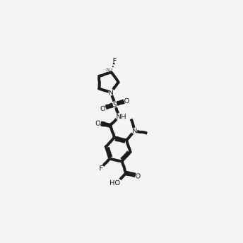 CN(C)c1cc(C(=O)O)c(F)cc1C(=O)NS(=O)(=O)N1CC[C@H](F)C1